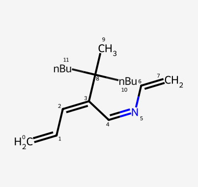 C=C/C=C(\C=N/C=C)C(C)(CCCC)CCCC